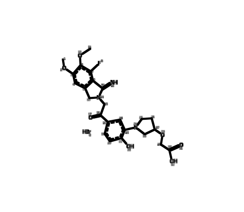 Br.COc1cc2c(c(F)c1OC)C(=N)N(CC(=O)c1ccc(O)c(N3CCC(OCC(=O)O)C3)c1)C2